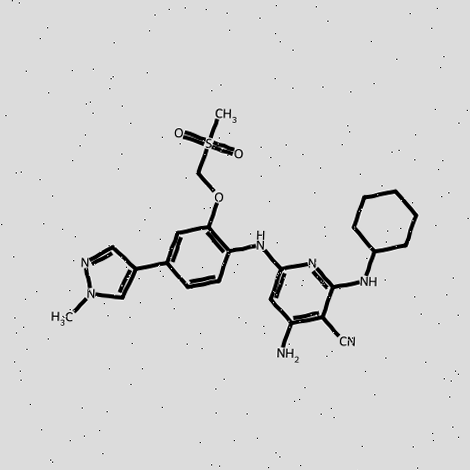 Cn1cc(-c2ccc(Nc3cc(N)c(C#N)c(NC4CCCCC4)n3)c(OCS(C)(=O)=O)c2)cn1